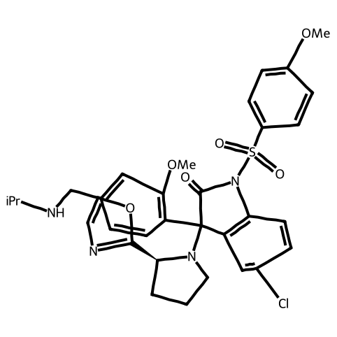 COc1ccc(S(=O)(=O)N2C(=O)C(c3ccc(CNC(C)C)cc3OC)(N3CCC[C@H]3c3ncco3)c3cc(Cl)ccc32)cc1